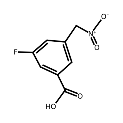 O=C(O)c1cc(F)cc(C[N+](=O)[O-])c1